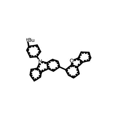 CC(C)(C)c1ccc(-n2c3ccccc3c3cc(-c4cccc5c4oc4ccccc45)ccc32)cc1